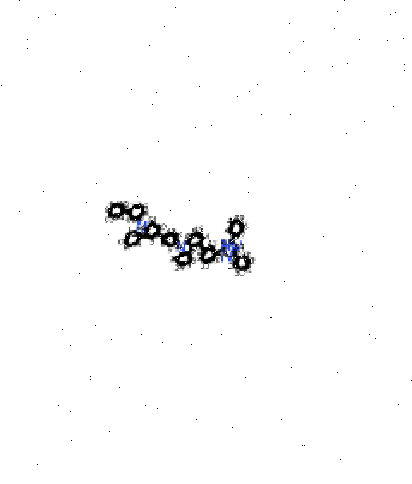 C1=Cc2c(c3cc(-c4ccc(-n5c6ccccc6c6c(-c7cccc(-c8nc(-c9ccccc9)nc(-c9ccccc9)n8)c7)cccc65)cc4)ccc3n2-c2cccc(-c3ccccc3)c2)CC1